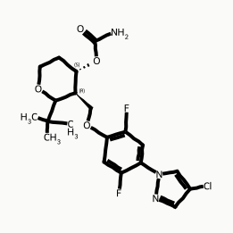 CC(C)(C)C1OCC[C@H](OC(N)=O)[C@H]1COc1cc(F)c(-n2cc(Cl)cn2)cc1F